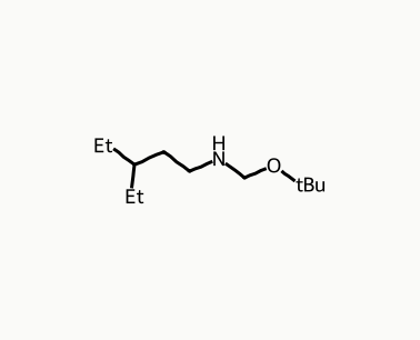 CCC(CC)CCNCOC(C)(C)C